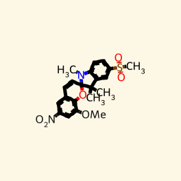 COc1cc([N+](=O)[O-])cc2c1OC1(C=C2)N(C)c2ccc(S(C)(=O)=O)cc2C1(C)C